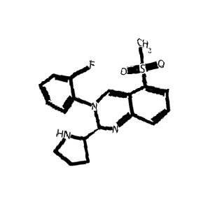 CS(=O)(=O)c1cccc2c1=CN(c1ccccc1F)[C@H](C1CCCN1)N=2